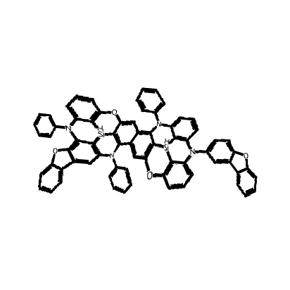 c1ccc(N2c3cccc4c3[SiH]3c5c(cccc5N4c4ccc5oc6ccccc6c5c4)Oc4cc5c6c7c(cc5c2c43)Oc2cccc3c2[SiH]7c2c(cc4c(oc5ccccc54)c2N3c2ccccc2)N6c2ccccc2)cc1